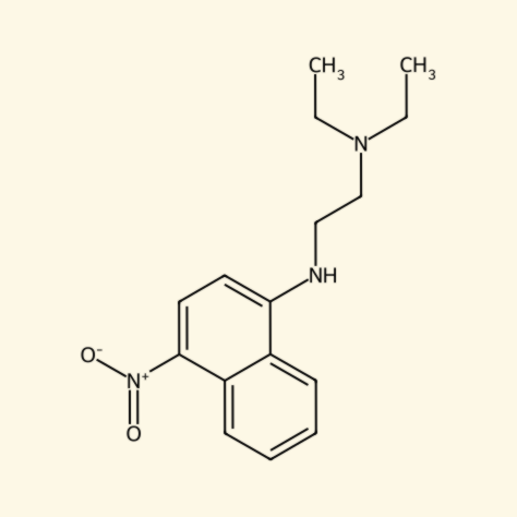 CCN(CC)CCNc1ccc([N+](=O)[O-])c2ccccc12